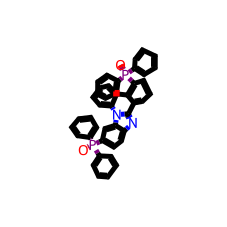 O=P(c1ccccc1)(c1ccccc1)c1ccc2nc3c4cccc(P(=O)(c5ccccc5)c5ccccc5)c4c4ccccc4n3c2c1